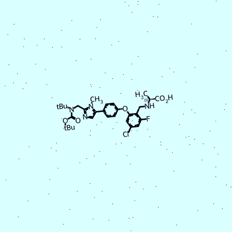 C[C@H](NCc1c(F)cc(Cl)cc1Oc1ccc(-c2cnc(CN(C(=O)OC(C)(C)C)C(C)(C)C)n2C)cc1)C(=O)O